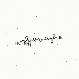 C#CC[C@H](N)C(=O)NCCOCCOCCOCCNC(=O)OC(C)(C)C